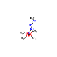 CCCCOC(=O)C(C(=O)OCCCC)C(C(=O)OCCCC)(C(=O)OCCCC)N(O)CCCCNCCCCNCCCCNCCC